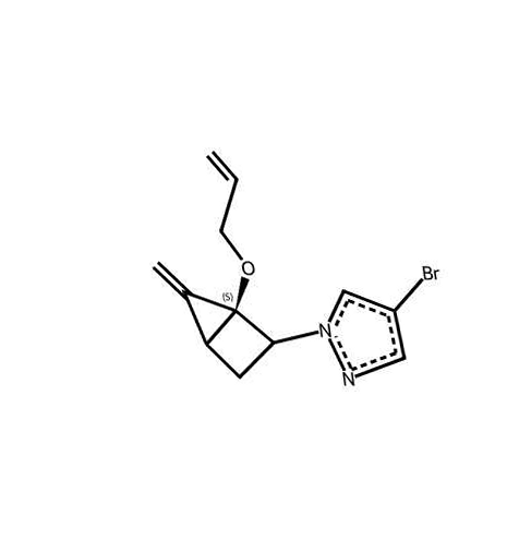 C=CCO[C@]12C(=C)C1CC2n1cc(Br)cn1